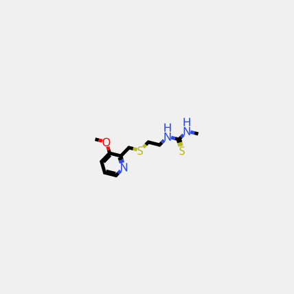 CNC(=S)NCCSCc1ncccc1OC